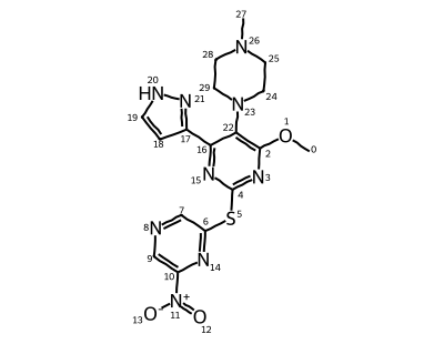 COc1nc(Sc2cncc([N+](=O)[O-])n2)nc(-c2cc[nH]n2)c1N1CCN(C)CC1